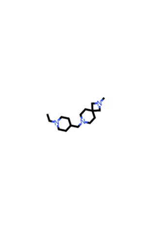 CCN1CCC(CN2CCC3(CC2)CN(C)C3)CC1